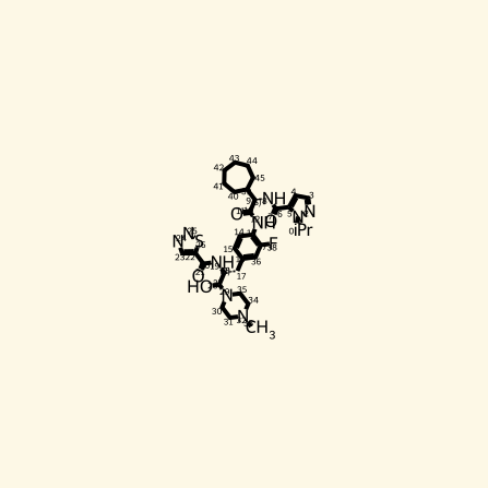 CC(C)n1nccc1C(=O)N[C@H](C(=O)Nc1ccc(C[C@@H](NC(=O)c2cnns2)C(O)N2CCN(C)CC2)cc1F)C1CCCCCC1